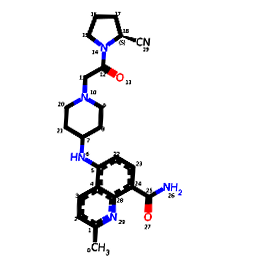 Cc1ccc2c(NC3CCN(CC(=O)N4CCC[C@H]4C#N)CC3)ccc(C(N)=O)c2n1